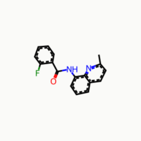 Cc1ccc2cccc(NC(=O)c3ccccc3F)c2n1